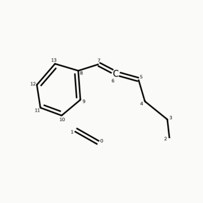 C=C.CCCC=C=Cc1ccccc1